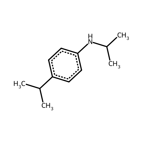 CC(C)Nc1ccc(C(C)C)cc1